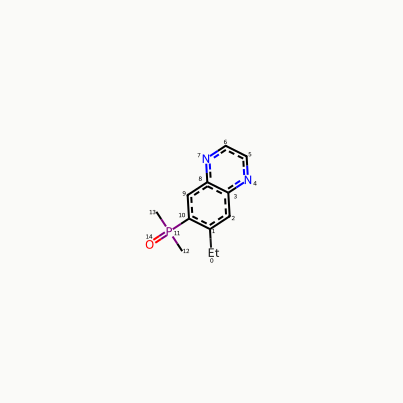 CCc1cc2nccnc2cc1P(C)(C)=O